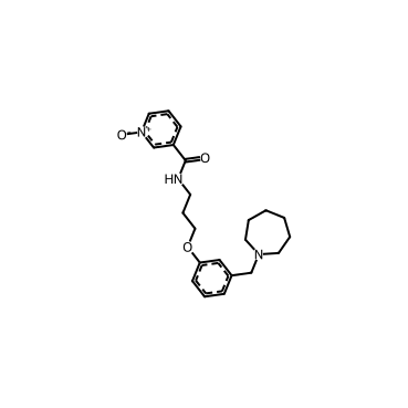 O=C(NCCCOc1cccc(CN2CCCCCC2)c1)c1ccc[n+]([O-])c1